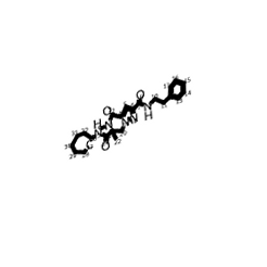 CN1C(=O)c2cc(C(=O)NCCc3ccccc3)nn2CC1(C)C(=O)NC1CCCCCC1